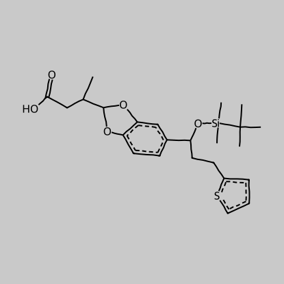 CC(CC(=O)O)C1Oc2ccc(C(CCc3cccs3)O[Si](C)(C)C(C)(C)C)cc2O1